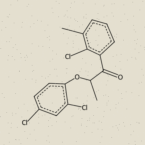 Cc1cccc(C(=O)C(C)Oc2ccc(Cl)cc2Cl)c1Cl